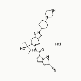 CCC(O)(CC)c1cc2nn(C3CCC(N4CCNCC4)CC3)cc2cc1NC(=O)c1ccc2cc(C#N)cnn12.Cl